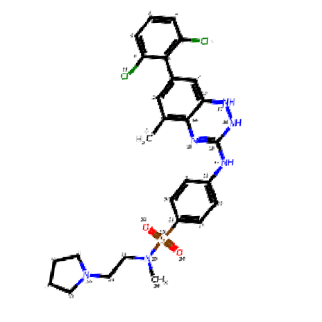 Cc1cc(-c2c(Cl)cccc2Cl)cc2c1N=C(Nc1ccc(S(=O)(=O)N(C)CCN3CCCC3)cc1)NN2